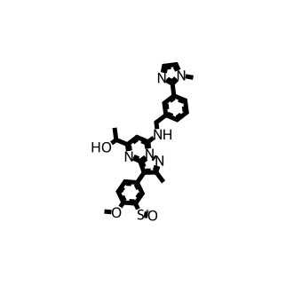 COc1ccc(-c2c(C)nn3c(NCc4cccc(-c5nccn5C)c4)cc(C(C)O)nc23)cc1[S+]=O